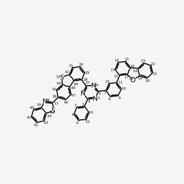 c1ccc(-c2nc(-c3cccc(-c4cccc5c4oc4ccccc45)c3)nc(-c3cccc4sc5cc(-c6nc7ccccc7s6)ccc5c34)n2)cc1